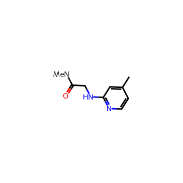 CNC(=O)CNc1cc(C)ccn1